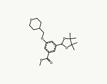 COC(=O)c1cc(OCC2CCOCC2)cc(B2OC(C)(C)C(C)(C)O2)c1